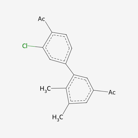 CC(=O)c1cc(C)c(C)c(-c2ccc(C(C)=O)c(Cl)c2)c1